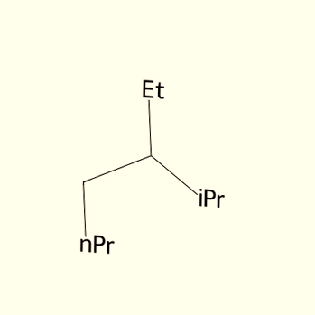 [CH2]CCCC(C[CH2])C(C)C